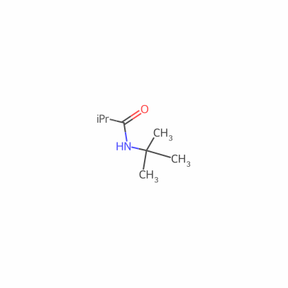 [CH2]C(C)C(=O)NC(C)(C)C